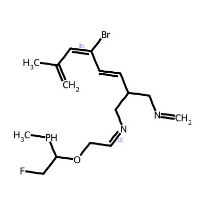 C=NCC(C=C/C(Br)=C\C(=C)C)C/N=C\COC(CF)PC